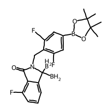 BC1(B)c2cccc(F)c2C(=O)N1Cc1c(F)cc(B2OC(C)(C)C(C)(C)O2)cc1F